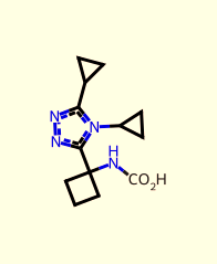 O=C(O)NC1(c2nnc(C3CC3)n2C2CC2)CCC1